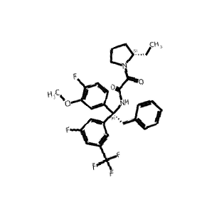 CC[C@H]1CCCN1C(=O)C(=O)N[C@@](Cc1ccccc1)(c1cc(F)cc(C(F)(F)F)c1)c1ccc(F)c(OC)c1